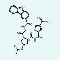 C[C@@H](NC(=O)[C@@H]1C[C@@H](OC(F)F)CN1C(=O)CNC(=O)c1ccc2[nH]c3ccccc3c2c1)c1cc(C(=N)N)cs1